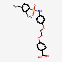 Cc1ccc(S(=O)(=O)Nc2ccc(OCCOc3ccc(C(=O)O)cc3)cc2)c(C)c1